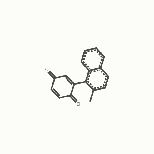 Cc1ccc2ccccc2c1C1=CC(=O)C=CC1=O